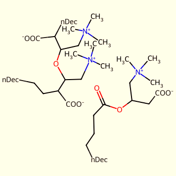 CCCCCCCCCCCCC(C(=O)[O-])C(C[N+](C)(C)C)OC(C[N+](C)(C)C)C(CCCCCCCCCC)C(=O)[O-].CCCCCCCCCCCCCC(=O)OC(CC(=O)[O-])C[N+](C)(C)C